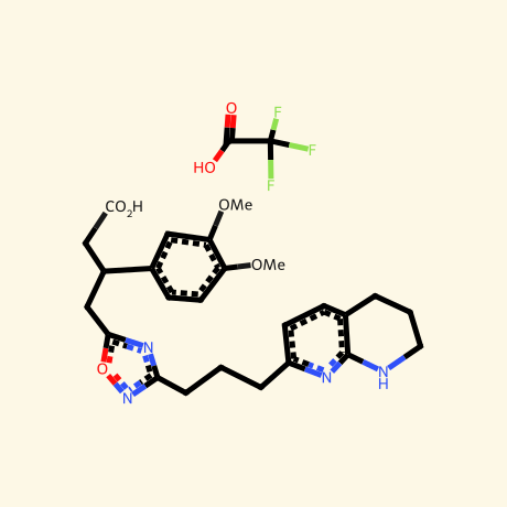 COc1ccc(C(CC(=O)O)Cc2nc(CCCc3ccc4c(n3)NCCC4)no2)cc1OC.O=C(O)C(F)(F)F